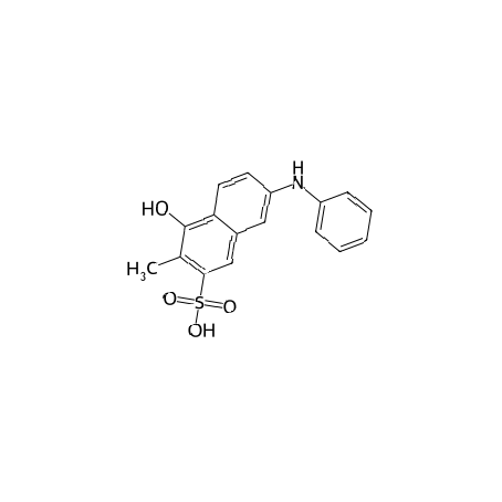 Cc1c(S(=O)(=O)O)cc2cc(Nc3ccccc3)ccc2c1O